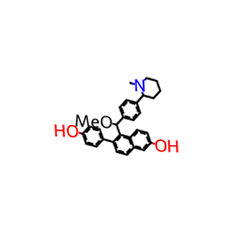 COC(c1ccc(C2CCCCN2C)cc1)c1c(-c2ccc(O)cc2)ccc2cc(O)ccc12